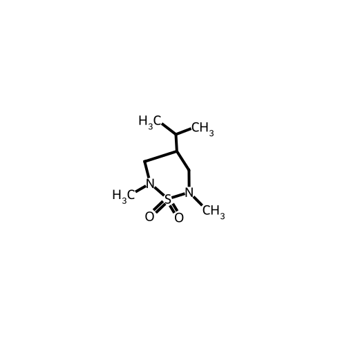 CC(C)C1CN(C)S(=O)(=O)N(C)C1